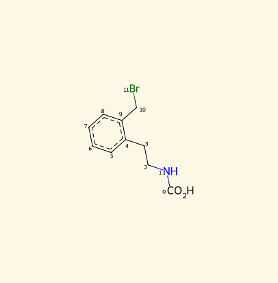 O=C(O)NCCc1ccccc1CBr